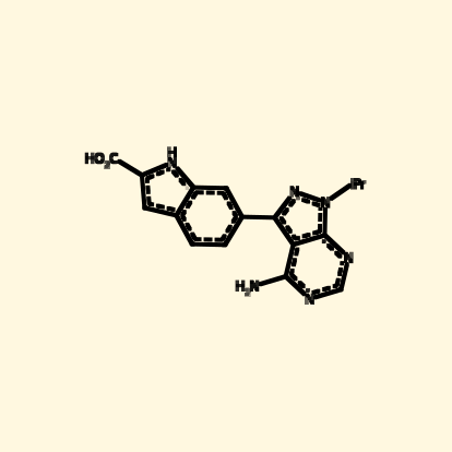 CC(C)n1nc(-c2ccc3cc(C(=O)O)[nH]c3c2)c2c(N)ncnc21